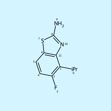 CC(C)c1c(F)ccc2sc(N)nc12